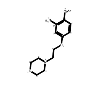 COc1ccc(OCCN2CCOCC2)cc1N